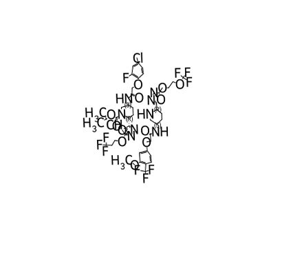 CC(C)(C)OC(=O)N1C[C@@H](NC(=O)COc2ccc(Cl)cc2F)CC[C@@H]1c1nnc(OCCC(F)(F)F)o1.COc1cc(OCC(=O)N[C@H]2CC[C@H](c3nnc(OCCOC(F)(F)F)o3)NC2)ccc1C(F)(F)F